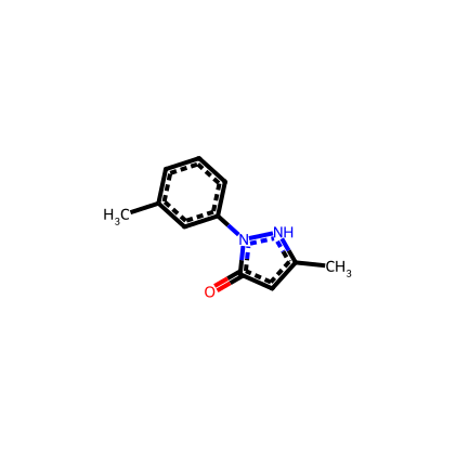 Cc1cccc(-n2[nH]c(C)cc2=O)c1